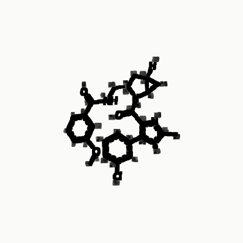 COc1cccc(C(=O)NC[C@@H]2C[C@@H]3CC3N2C(=O)c2nc(C)sc2-c2cccc(Cl)c2)c1